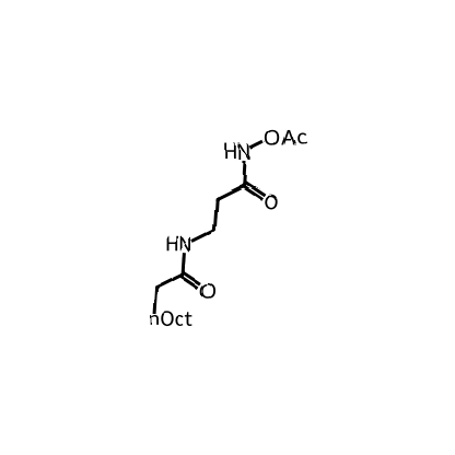 CCCCCCCCCC(=O)NCCC(=O)NOC(C)=O